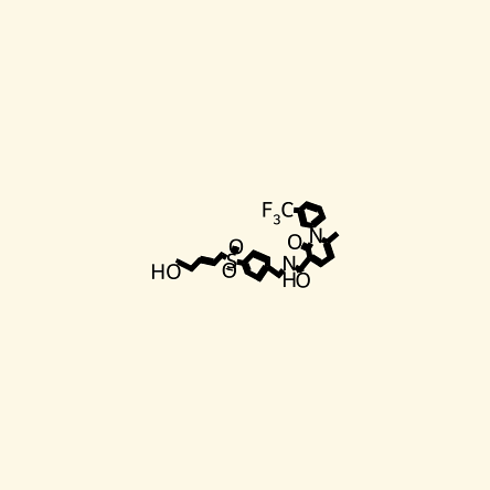 Cc1ccc(C(=O)NCc2ccc(S(=O)(=O)CC=CCCO)cc2)c(=O)n1-c1cccc(C(F)(F)F)c1